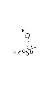 CCOC(=O)C1C[C@H](CCc2ccc(Br)cc2)CNC1=O